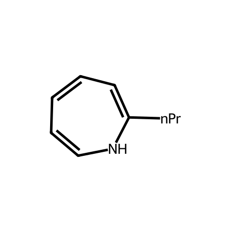 [CH2]CCC1=CC=CC=CN1